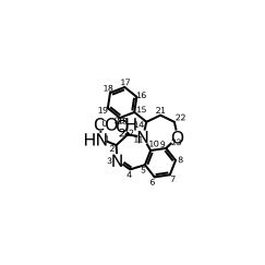 O=C(O)NC1N=Cc2cccc3c2N(C1=O)C(c1ccccc1)CCO3